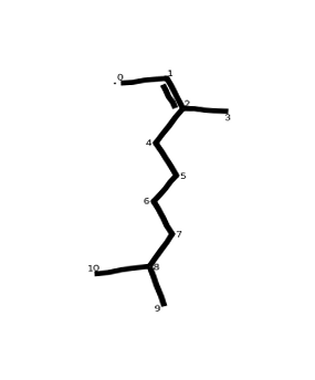 [CH2]C=C(C)CCCCC(C)C